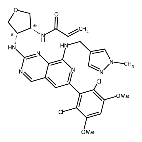 C=CC(=O)N[C@H]1COC[C@H]1Nc1ncc2cc(-c3c(Cl)c(OC)cc(OC)c3Cl)nc(NCc3cnn(C)c3)c2n1